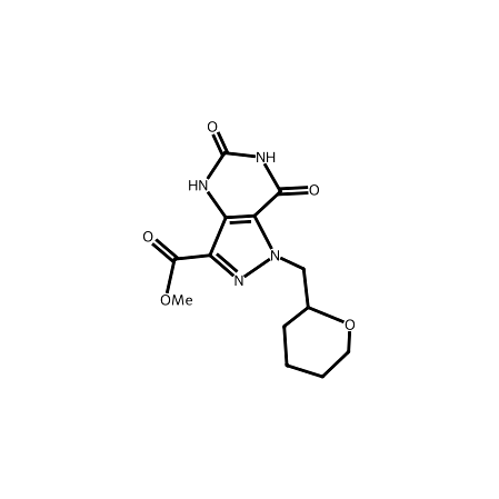 COC(=O)c1nn(CC2CCCCO2)c2c(=O)[nH]c(=O)[nH]c12